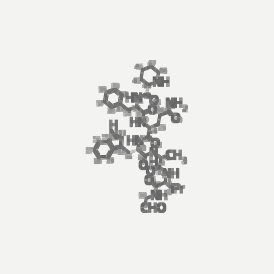 CC(C)[C@H](NC(=O)[C@H](C)NC(=O)[C@H](Cc1c[nH]c2ccccc12)NC(=O)[C@H](CCC(N)=O)NC(=O)[C@@H](Cc1ccccc1)NC(=O)[C@@H]1CCCCN1)C(=O)NCC=O